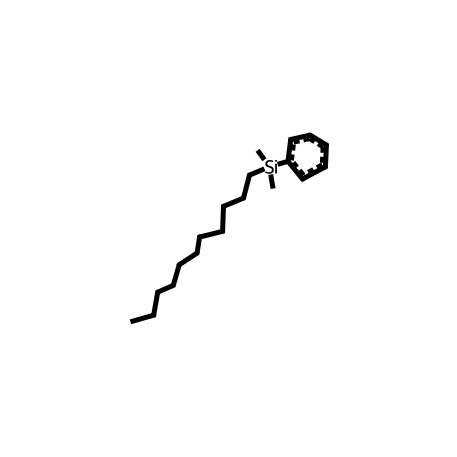 CCCCCCCCCCC[Si](C)(C)c1ccccc1